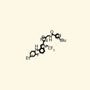 CCN1CC[C@@H](Nc2cccc3c2cc(-c2noc(CNC(=O)c4cnn(C(C)(C)C)c4)n2)n3CC(F)(F)F)[C@@H](F)C1